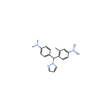 CCN(CC)c1ccc(C(c2ccc(N(C)C)cc2)n2cccn2)c(C)c1